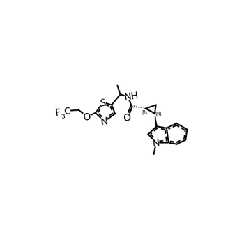 CC(NC(=O)[C@@H]1C[C@H]1c1cn(C)c2ccccc12)c1cnc(OCC(F)(F)F)s1